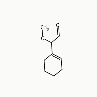 COC([C]=O)C1=CCCCC1